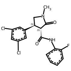 CN1C[C@H](c2cc(Cl)cc(Cl)c2)[C@@H](C(=O)Nc2ccccc2F)C1=O